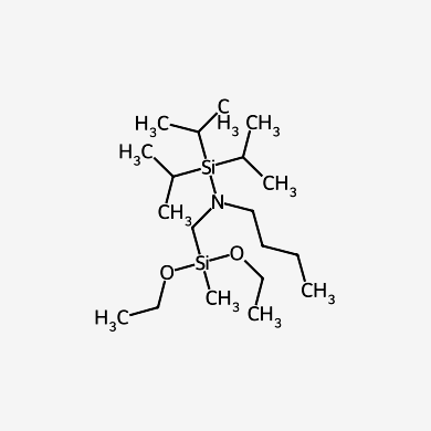 CCCCN(C[Si](C)(OCC)OCC)[Si](C(C)C)(C(C)C)C(C)C